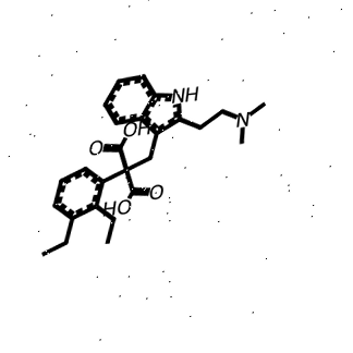 CCc1cccc(C(Cc2c(CCN(C)C)[nH]c3ccccc23)(C(=O)O)C(=O)O)c1CC